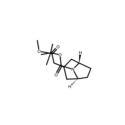 COC(=O)CC1C[C@@H]2CC[C@@H](C1)N2C(=O)OC(C)(C)C